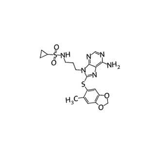 Cc1cc2c(cc1Sc1nc3c(N)ncnc3n1CCCNS(=O)(=O)C1CC1)OCO2